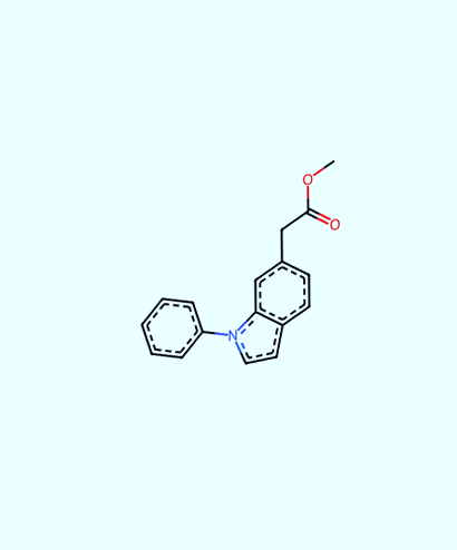 COC(=O)Cc1ccc2ccn(-c3ccccc3)c2c1